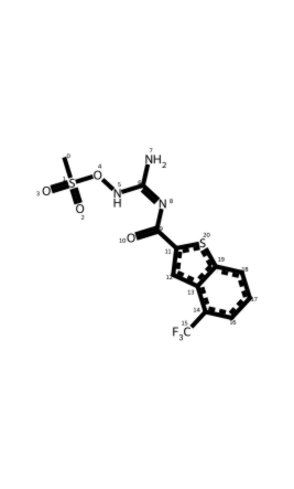 CS(=O)(=O)ONC(N)=NC(=O)c1cc2c(C(F)(F)F)cccc2s1